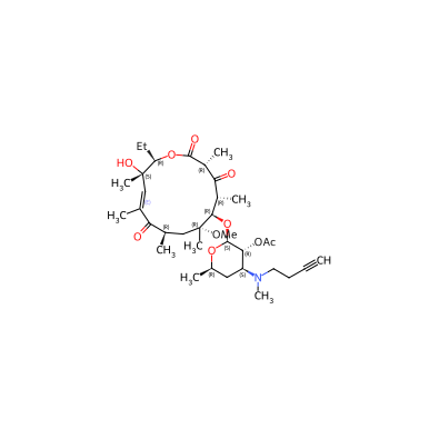 C#CCCN(C)[C@H]1C[C@@H](C)O[C@@H](O[C@@H]2[C@@H](C)C(=O)[C@@H](C)C(=O)O[C@H](CC)[C@@](C)(O)/C=C(\C)C(=O)[C@H](C)C[C@@]2(C)OC)[C@@H]1OC(C)=O